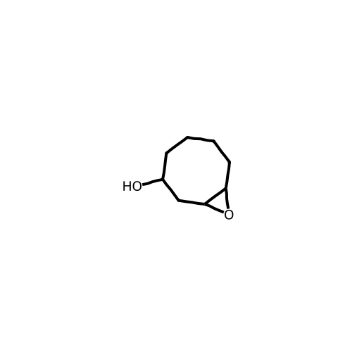 OC1CCCCC2OC2C1